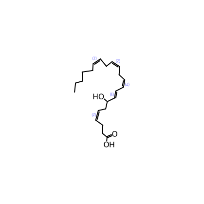 CCCCC/C=C\C/C=C\C/C=C\C=C\C(O)C/C=C\CCC(=O)O